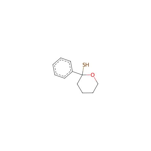 SC1(c2ccccc2)CCCCO1